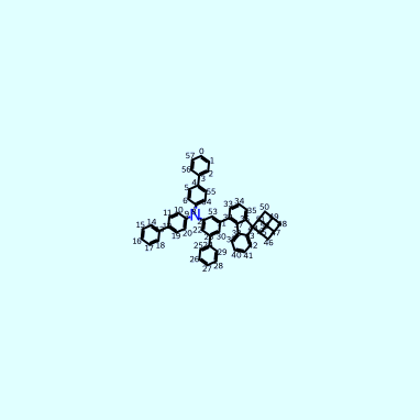 c1ccc(-c2ccc(N(c3ccc(-c4ccccc4)cc3)c3cc(-c4ccccc4)cc(-c4cccc5c4-c4ccccc4C54C5CC6CC7CC4C675)c3)cc2)cc1